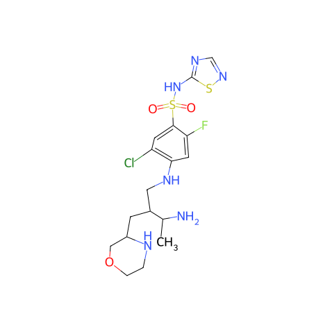 CC(N)C(CNc1cc(F)c(S(=O)(=O)Nc2ncns2)cc1Cl)CC1COCCN1